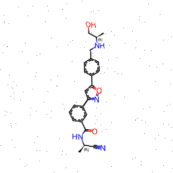 C[C@H](C#N)NC(=O)c1cccc(-c2cc(-c3ccc(CN[C@H](C)CO)cc3)on2)c1